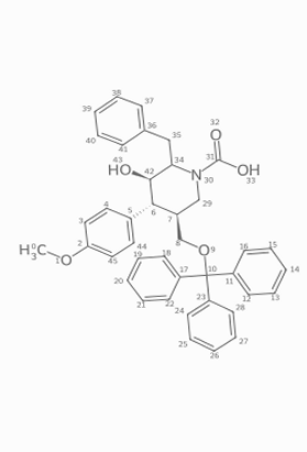 COc1ccc([C@H]2[C@H](COC(c3ccccc3)(c3ccccc3)c3ccccc3)CN(C(=O)O)C(Cc3ccccc3)[C@@H]2O)cc1